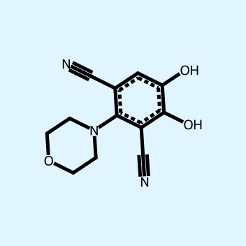 N#Cc1cc(O)c(O)c(C#N)c1N1CCOCC1